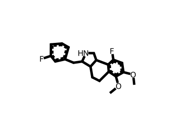 COc1cc(F)c2c(c1OC)CCC1C(Cc3cccc(F)c3)NCC21